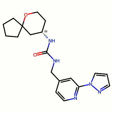 O=C(NCc1ccnc(-n2cccn2)c1)N[C@H]1CCOC2(CCCC2)C1